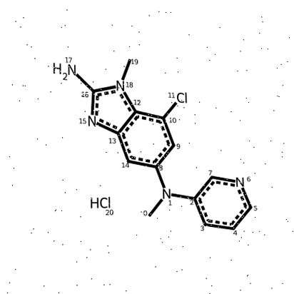 CN(c1cccnc1)c1cc(Cl)c2c(c1)nc(N)n2C.Cl